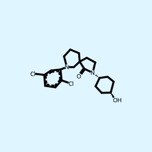 O=C1N([C@H]2CC[C@H](O)CC2)CCC12CCCN(c1cc(Cl)ccc1Cl)C2